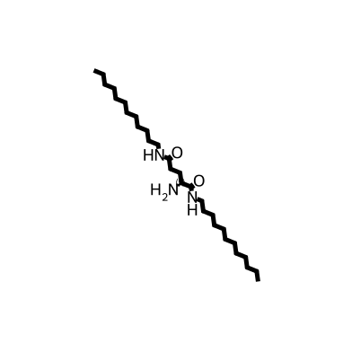 CCCCCCCCCCCCNC(=O)CC[C@H](N)C(=O)NCCCCCCCCCCCC